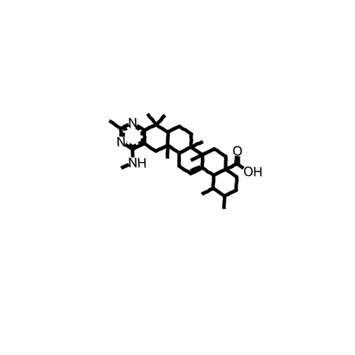 CNc1nc(C)nc2c1CC1(C)C(CCC3(C)C1CC=C1C4C(C)C(C)CCC4(C(=O)O)CCC13C)C2(C)C